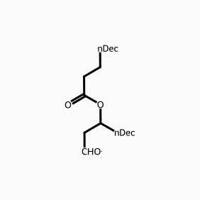 CCCCCCCCCCCCC(=O)OC(C[C]=O)CCCCCCCCCC